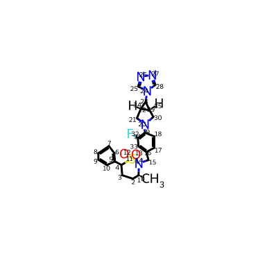 C[C@H]1CCC(c2ccccc2)S(=O)(=O)N1Cc1ccc(N2C[C@@H]3C(n4cnnc4)[C@@H]3C2)c(F)c1